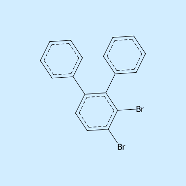 Brc1ccc(-c2ccccc2)c(-c2ccccc2)c1Br